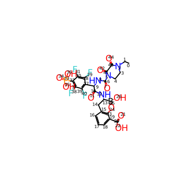 CCN1CCN(C(=O)N[C@@H](C(=O)N[C@H]2Cc3cccc(C(=O)O)c3OB2O)c2c(F)c(F)c(P(=O)(O)O)c(F)c2F)C(=O)C1=O